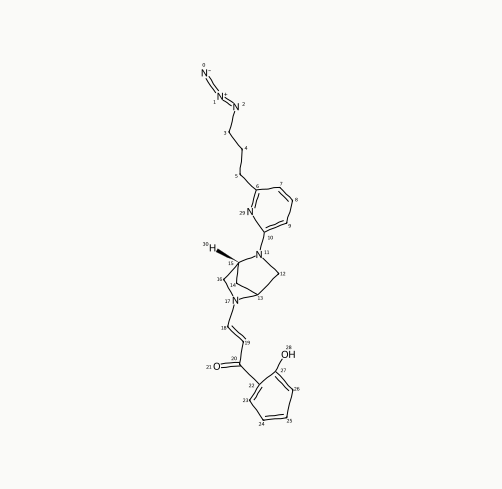 [N-]=[N+]=NCCCc1cccc(N2CC3C[C@@H]2CN3/C=C/C(=O)c2ccccc2O)n1